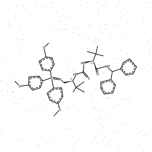 COc1ccc(P(=NC[C@@H](NC(=S)N[C@H](C(=O)NC(c2ccccc2)c2ccccc2)C(C)(C)C)C(C)(C)C)(c2ccc(OC)cc2)c2ccc(OC)cc2)cc1